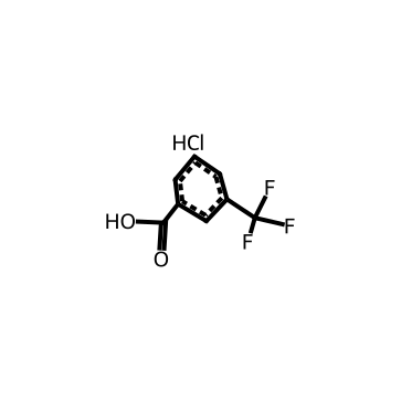 Cl.O=C(O)c1cccc(C(F)(F)F)c1